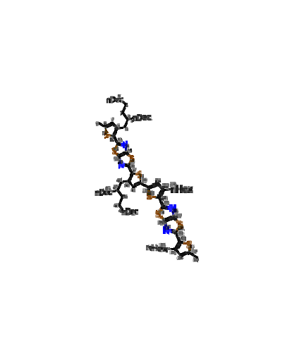 CCCCCCCCCCCCC(CCCCCCCCCC)Cc1cc(C)sc1-c1nc2sc(-c3sc(-c4cc(CCCCCC)c(-c5nc6sc(-c7sc(C)cc7CCCCCC)nc6s5)s4)cc3CC(CCCCCCCCCC)CCCCCCCCCCCC)nc2s1